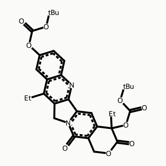 CCc1c2c(nc3ccc(OC(=O)OC(C)(C)C)cc13)-c1cc3c(c(=O)n1C2)COC(=O)C3(CC)OC(=O)OC(C)(C)C